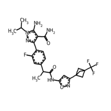 CC(C(=O)Nc1cc(C23CC(C(F)(F)F)(C2)C3)no1)c1ccc(-c2nn(C(C)C)c(N)c2C(N)=O)c(F)c1